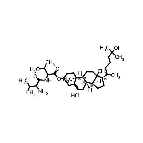 CC(C)C(N)C(=O)NC(C(=O)O[C@H]1CC[C@@]2(C)C(=CC[C@H]3[C@@H]4CC[C@H](C(C)CCCC(C)(C)O)[C@@]4(C)CC[C@@H]32)C1)C(C)C.Cl